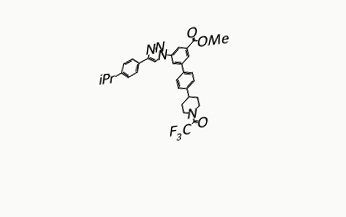 COC(=O)c1cc(-c2ccc(C3CCN(C(=O)C(F)(F)F)CC3)cc2)cc(-n2cc(-c3ccc(C(C)C)cc3)nn2)c1